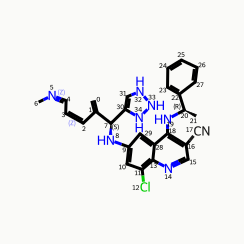 C=C(/C=C\C=N/C)[C@H](Nc1cc(Cl)c2ncc(C#N)c(N[C@H](C)c3ccccc3)c2c1)C1=CNNN1